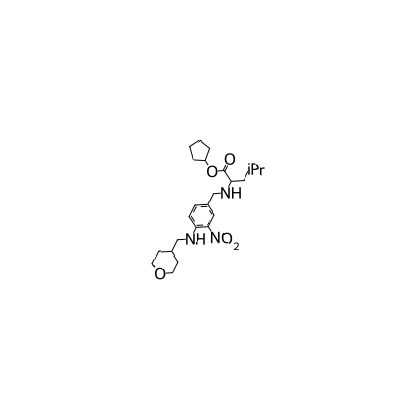 CC(C)CC(NCc1ccc(NCC2CCOCC2)c([N+](=O)[O-])c1)C(=O)OC1CCCC1